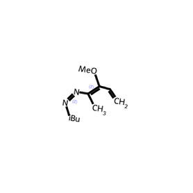 C=C/C(OC)=C(C)/N=N\C(C)CC